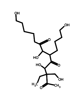 CCC(CO)(C(C)=O)C(O)C(=O)C(CCCCO)C(O)C(=O)CCCCCO